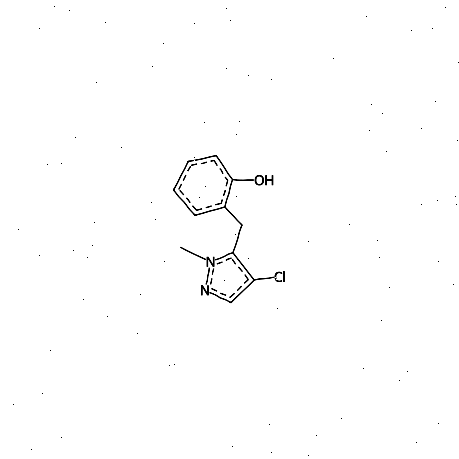 Cn1ncc(Cl)c1Cc1ccccc1O